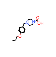 CCCOc1ccc(CN2CCN(C(=O)O)CC2)cc1